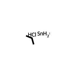 CCC.Cl.[SnH2]